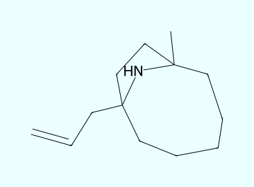 C=CCC12CCCCCC(C)(CC1)N2